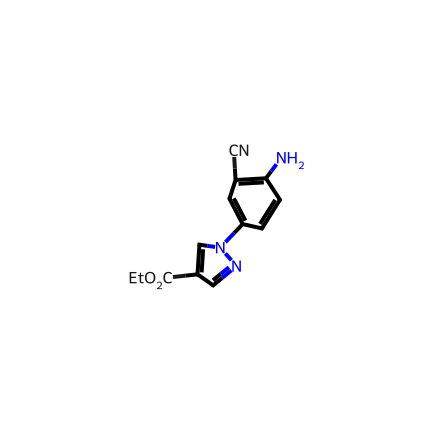 CCOC(=O)c1cnn(-c2ccc(N)c(C#N)c2)c1